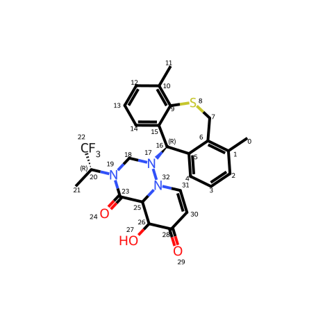 Cc1cccc2c1CSc1c(C)cccc1[C@@H]2N1CN([C@H](C)C(F)(F)F)C(=O)C2C(O)C(=O)C=CN21